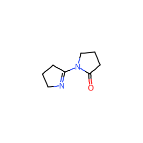 O=C1CCCN1C1=NCCC1